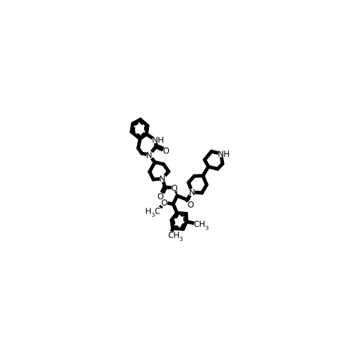 COC(c1cc(C)cc(C)c1)[C@@H](OC(=O)N1CCC(N2CCc3ccccc3NC2=O)CC1)C(=O)N1CCC(C2CCNCC2)CC1